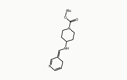 CC(C)(C)OC(=O)N1CCC(NC=C2C=NC=CC2)CC1